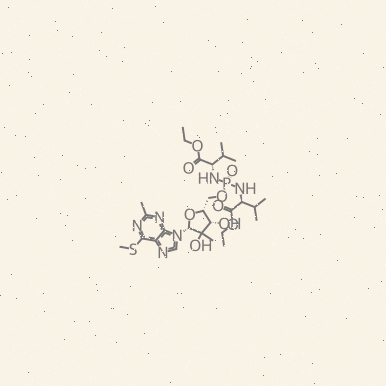 CCOC(=O)[C@@H](NP(=O)(N[C@H](C(=O)OCC)C(C)C)OC[C@H]1O[C@@H](n2cnc3c(SC)nc(C)nc32)C(C)(O)[C@H]1O)C(C)C